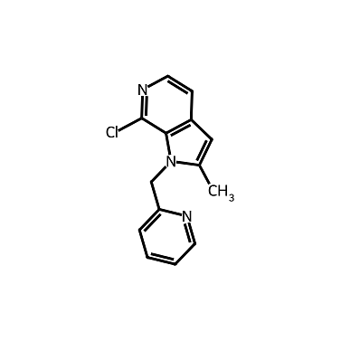 Cc1cc2ccnc(Cl)c2n1Cc1ccccn1